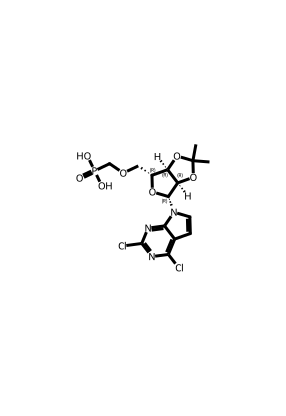 CC1(C)O[C@@H]2[C@H](O1)[C@@H](COCP(=O)(O)O)O[C@H]2n1ccc2c(Cl)nc(Cl)nc21